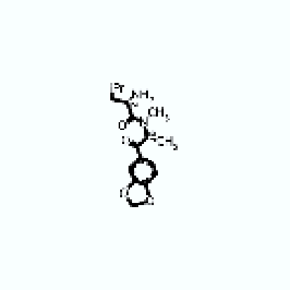 CC(C)C[C@H](N)C(=O)N(C)[C@@H](C)C(=O)c1ccc2c(c1)OCO2